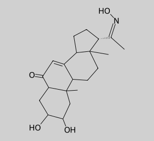 C/C(=N/O)[C@H]1CCC2C3=CC(=O)C4CC(O)C(O)CC4(C)C3CCC21C